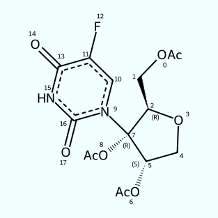 CC(=O)OC[C@H]1OC[C@H](OC(C)=O)[C@@]1(OC(C)=O)n1cc(F)c(=O)[nH]c1=O